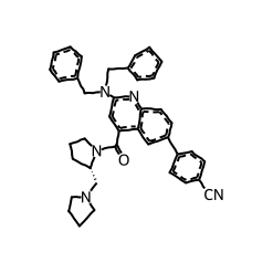 N#Cc1ccc(-c2ccc3nc(N(Cc4ccccc4)Cc4ccccc4)cc(C(=O)N4CCC[C@H]4CN4CCCC4)c3c2)cc1